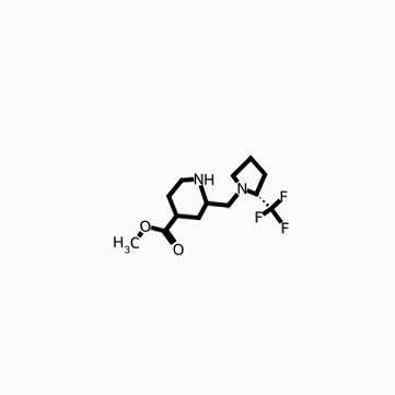 COC(=O)C1CCNC(CN2CCC[C@@H]2C(F)(F)F)C1